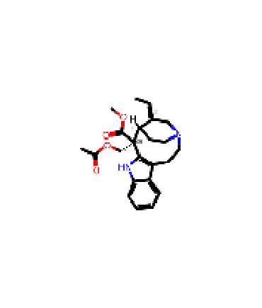 C/C=C1/CN2CCc3c([nH]c4ccccc34)[C@@](COC(C)=O)(C(=O)OC)[C@H]1CC2